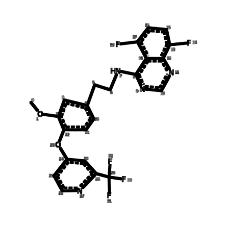 COc1cc(CCNc2ncnc3c(F)ccc(F)c23)ccc1Oc1ccnc(C(F)(F)F)c1